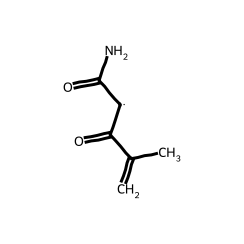 C=C(C)C(=O)[CH]C(N)=O